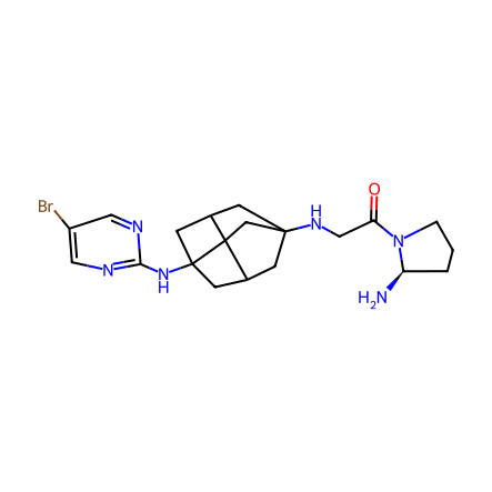 N[C@@H]1CCCN1C(=O)CNC12CC3CC4(Nc5ncc(Br)cn5)CC(C1)C34C2